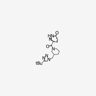 CC(C)(C)c1cn(CC2CCCN(C(=O)c3ccc(=O)[nH]n3)C2)nn1